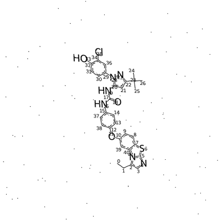 CCc1cnc2sc3ccc(Oc4ccc(NC(=O)Nc5cc(C(C)(C)C)nn5-c5ccc(O)c(Cl)c5)cc4)cc3n12